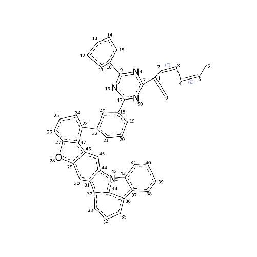 C=C(/C=C\C=C/C)c1nc(-c2ccccc2)nc(-c2cccc(-c3cccc4oc5cc6c7cccc8c9ccccc9n(c6cc5c34)c87)c2)n1